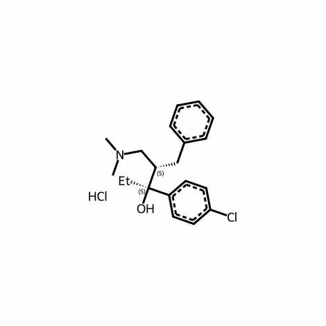 CC[C@@](O)(c1ccc(Cl)cc1)[C@@H](Cc1ccccc1)CN(C)C.Cl